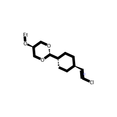 CCO[C@H]1CO[C@H]([C@H]2CC[C@H](/C=C/Cl)CC2)OC1